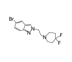 FC1(F)CCN(CCn2cc3cc(Br)ccc3n2)CC1